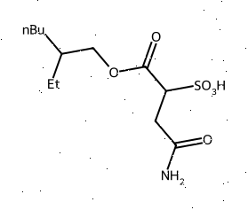 CCCCC(CC)COC(=O)C(CC(N)=O)S(=O)(=O)O